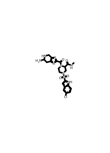 CNC(=O)C1CN(S(=O)(=O)c2cc3cc(Cl)ccc3[nH]2)CCN1C(=O)c1nc2c(s1)CNC(N)C2